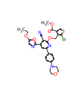 CCOc1cnc(-c2cc(-c3ccc(N4CCOCC4)cc3)nc(OCc3c(C(=O)OC)csc3Br)c2C#N)o1